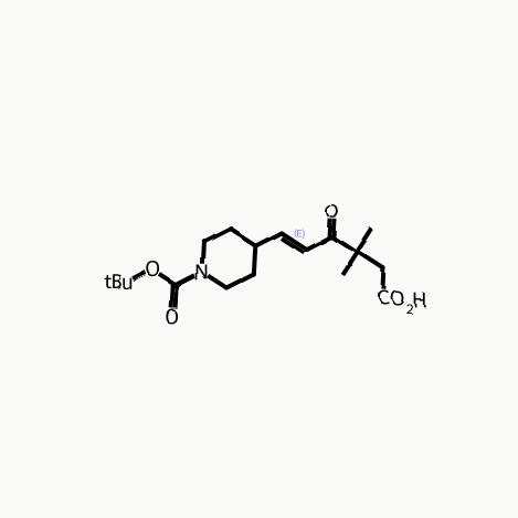 CC(C)(C)OC(=O)N1CCC(/C=C/C(=O)C(C)(C)CC(=O)O)CC1